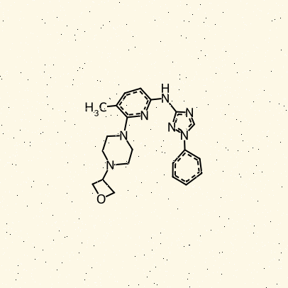 Cc1ccc(Nc2ncn(-c3ccccc3)n2)nc1N1CCN(C2COC2)CC1